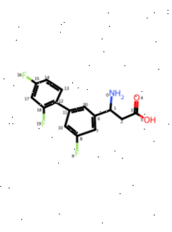 NC(CC(=O)O)c1cc(F)cc(-c2ccc(F)cc2F)c1